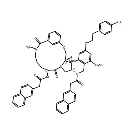 COc1cc(OCCc2ccc(C)cc2)cc(OC)c1CN(C(=O)Cc1ccc2ccccc2c1)[C@H]1C[C@H]2COc3cccc(c3)C(=O)N(C)CCC[C@H](NC(=O)Cc3ccc4ccccc4c3)C(=O)N2C1